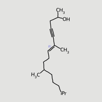 C/C(C#CCC(C)O)=C\CCC(C)CCCC(C)C